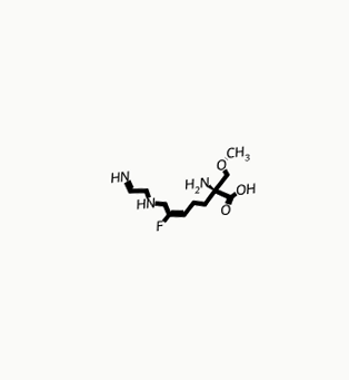 COC[C@@](N)(CC/C=C(/F)CNCC=N)C(=O)O